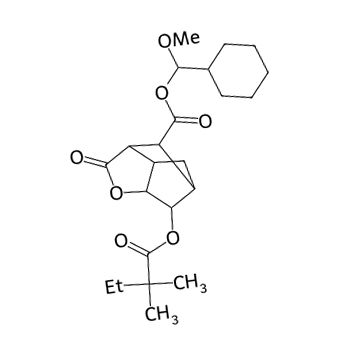 CCC(C)(C)C(=O)OC1C2CC3C1OC(=O)C3C2C(=O)OC(OC)C1CCCCC1